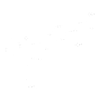 CCCCC(=O)c1c(-c2ccc3c(CC)c(OCC(=O)O)ccc3c2)oc2ccccc12